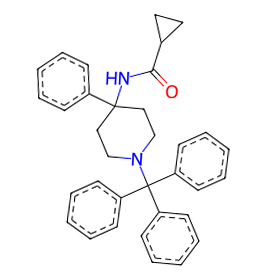 O=C(NC1(c2ccccc2)CCN(C(c2ccccc2)(c2ccccc2)c2ccccc2)CC1)C1CC1